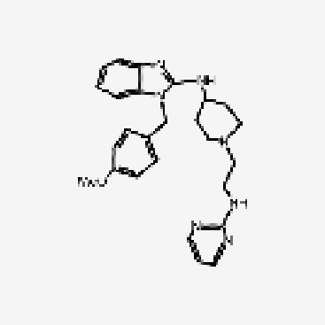 COc1ccc(Cn2c(NC3CCN(CCNc4ncccn4)CC3)nc3ccccc32)cc1